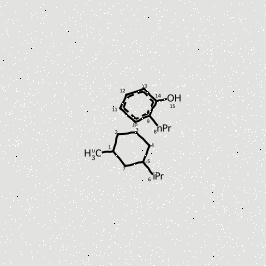 CC1CCC[C](C(C)C)C1.CCCc1ccccc1O